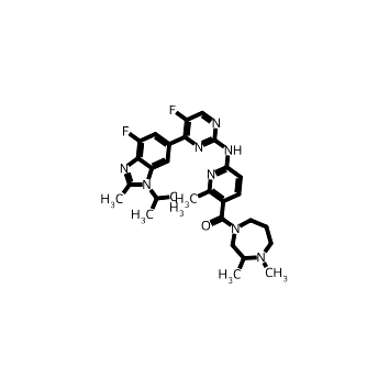 Cc1nc(Nc2ncc(F)c(-c3cc(F)c4nc(C)n(C(C)C)c4c3)n2)ccc1C(=O)N1CCCN(C)C(C)C1